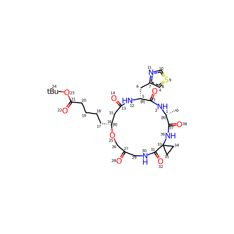 C[C@H]1NC(=O)[C@@H](Cc2cscn2)NC(=O)C[C@@H](CCCCC(=O)OC(C)(C)C)OCC(=O)CNC(=O)C2(CC2)NC1=O